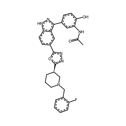 CC(=O)Nc1cc(-c2n[nH]c3ccc(-c4nnc([C@@H]5CCCN(Cc6ccccc6F)C5)o4)cc23)ccc1O